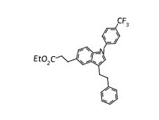 CCOC(=O)CCc1ccc2c(c1)c(CCc1ccccc1)cn2-c1ccc(C(F)(F)F)cc1